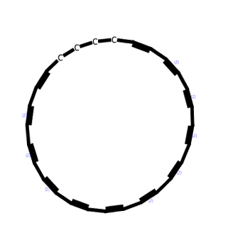 [C]1=C\C=C/C=C\C=C/C=C\C=C/C=CC=C\C=C/C=C\C=C/C=CCCCC1